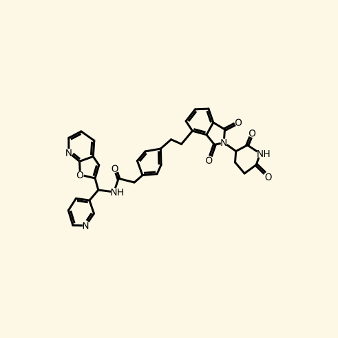 O=C1CCC(N2C(=O)c3cccc(CCc4ccc(CC(=O)NC(c5cccnc5)c5cc6cccnc6o5)cc4)c3C2=O)C(=O)N1